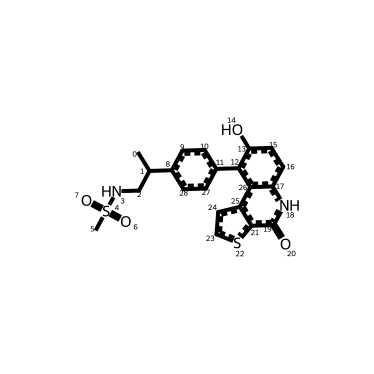 CC(CNS(C)(=O)=O)c1ccc(-c2c(O)ccc3[nH]c(=O)c4sccc4c23)cc1